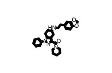 O=C(c1nn(-c2ccccc2)c2c1CC(NCCc1ccc3c(c1)OCO3)CC2)N1CCCCC1